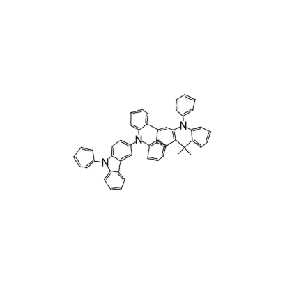 CC1(C)c2ccccc2N(c2ccccc2)c2cc(-c3ccccc3N(c3ccccc3)c3ccc4c(c3)c3ccccc3n4-c3ccccc3)ccc21